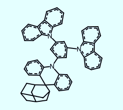 c1ccc2c(c1)N(c1cc(-n3c4ccccc4c4ccccc43)cc(-n3c4ccccc4c4ccccc43)c1)c1ccccc1C21C2CC3CC(C2)CC1C3